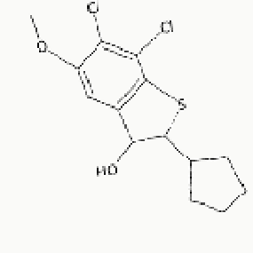 COc1cc2c(c(Cl)c1Cl)SC(C1CCCC1)C2O